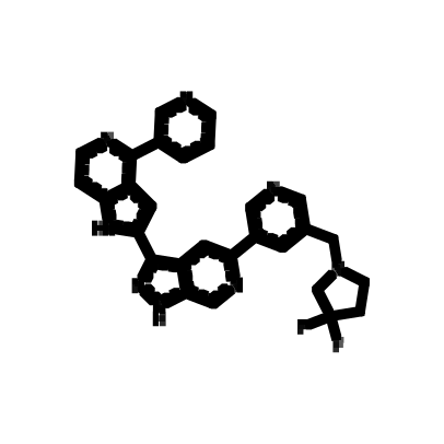 FC1(F)CCN(Cc2cncc(-c3cc4c(-c5cc6c(-c7cccnc7)nccc6[nH]5)n[nH]c4cn3)c2)C1